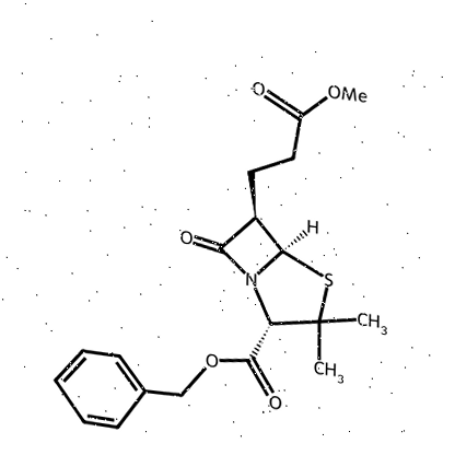 COC(=O)CC[C@@H]1C(=O)N2[C@@H]1SC(C)(C)[C@@H]2C(=O)OCc1ccccc1